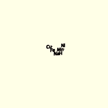 [Cu].[Fe].[Mn].[NaH].[Ni]